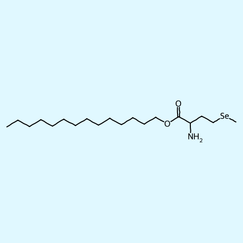 CCCCCCCCCCCCCCOC(=O)C(N)CC[Se]C